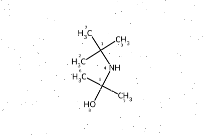 CC(C)(C)NC(C)(C)O